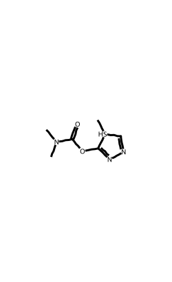 CN(C)C(=O)OC1=NN=C[SH]1C